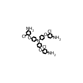 Nc1ccc(Oc2ccc(N(c3ccc(Oc4ccc(N)cc4Cl)cc3)c3ccc(Oc4ccc(N)cc4Cl)cc3)cc2)c(Cl)c1